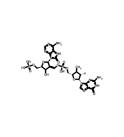 CC1[C@@H](COP(=O)(O)O/C=C2/C(O)[C@@H](COP(=O)(O)S)O[C@H]2n2c(=O)[nH]c3c(N)ncnc32)O[C@@H](n2cnc3c(=O)[nH]c(N)nc32)[C@H]1I